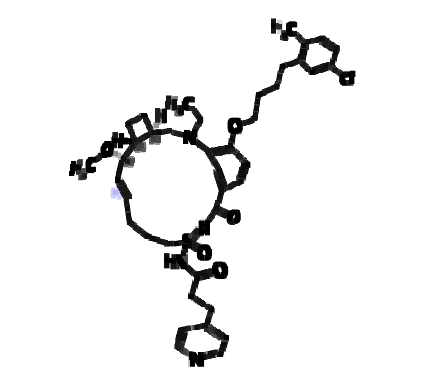 CCN1C[C@@H]2CC[C@H]2[C@@H](OC)/C=C/CCCS(=O)(NC(=O)CCc2ccncc2)=NC(=O)c2ccc(OCCCCc3cc(Cl)ccc3C)c1c2